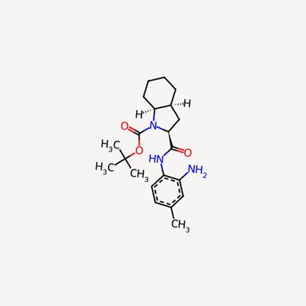 Cc1ccc(NC(=O)[C@@H]2C[C@@H]3CCCC[C@@H]3N2C(=O)OC(C)(C)C)c(N)c1